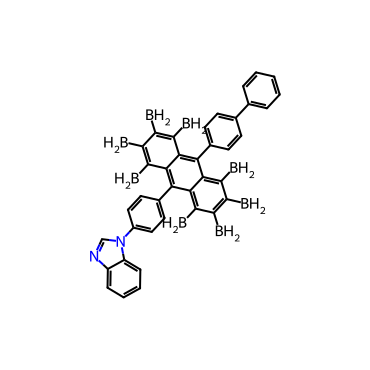 Bc1c(B)c(B)c2c(-c3ccc(-n4cnc5ccccc54)cc3)c3c(B)c(B)c(B)c(B)c3c(-c3ccc(-c4ccccc4)cc3)c2c1B